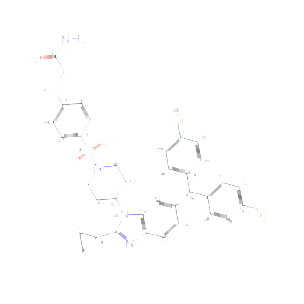 NC(=O)COc1ccc(S(=O)(=O)N2CCC(n3c(C4CC4)nc4ccc(C(c5ccc(Cl)cc5)c5ccc(Cl)cc5)cc43)CC2)cc1